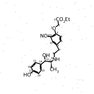 CCOC(=O)COc1ccc(CCN[C@@H](C)[C@H](O)c2ccc(O)cc2)cc1C#N